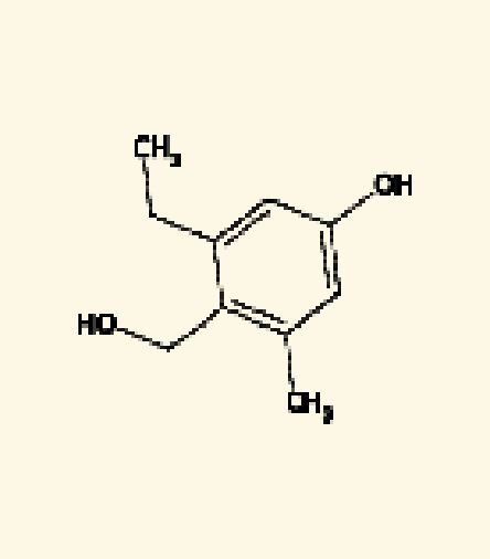 CCc1cc(O)cc(C)c1CO